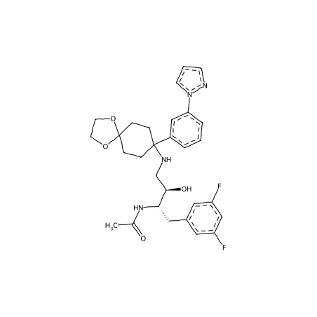 CC(=O)N[C@@H](Cc1cc(F)cc(F)c1)[C@H](O)CNC1(c2cccc(-n3cccn3)c2)CCC2(CC1)OCCO2